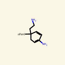 CCCCCC1(CCN)C=CC(N)=CC1